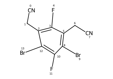 N#CCc1c(F)c(CC#N)c(Br)c(F)c1Br